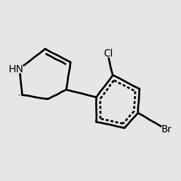 Clc1cc(Br)ccc1C1C=CN[CH]C1